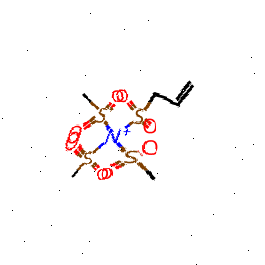 C=CCS(=O)(=O)[N+](S(C)(=O)=O)(S(C)(=O)=O)S(C)(=O)=O